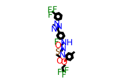 Cc1ccc(OCCC(F)(F)F)c(N2C(=O)CS/C2=N\C(=O)Nc2ccc(-c3ncn(-c4cccc(C(F)(F)F)c4)n3)cc2F)c1